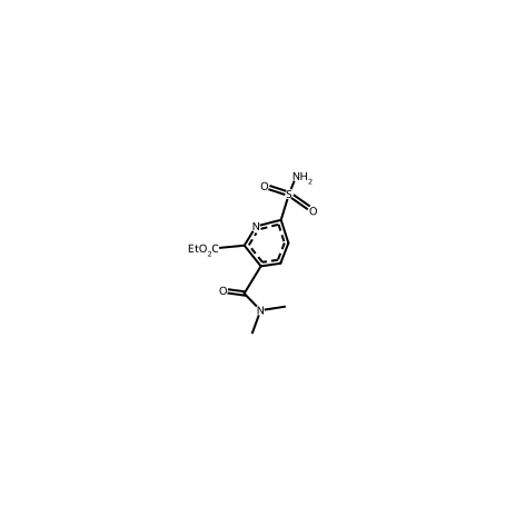 CCOC(=O)c1nc(S(N)(=O)=O)ccc1C(=O)N(C)C